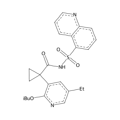 CCc1cnc(OCC(C)C)c(C2(C(=O)NS(=O)(=O)c3cccc4ncccc34)CC2)c1